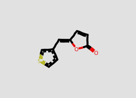 O=C1C=C/C(=C/c2ccsc2)O1